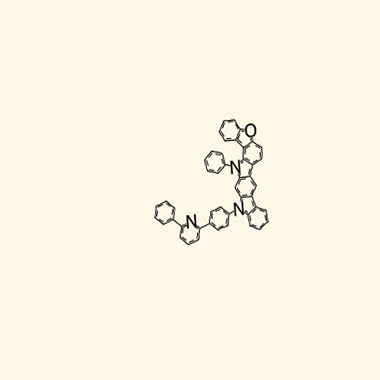 c1ccc(-c2cccc(-c3ccc(-n4c5ccccc5c5cc6c7ccc8oc9ccccc9c8c7n(-c7ccccc7)c6cc54)cc3)n2)cc1